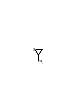 CC1C[Si]1